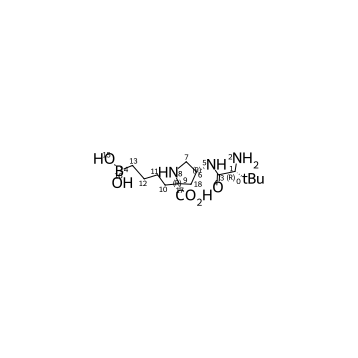 CC(C)(C)[C@@H](N)C(=O)N[C@H]1CN[C@@](CCCCB(O)O)(C(=O)O)C1